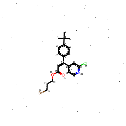 CC(C)(C)c1ccc(C(=CC(=O)OCCCBr)c2ccnc(Cl)c2)cc1